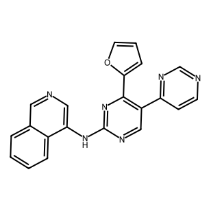 c1coc(-c2nc(Nc3cncc4ccccc34)ncc2-c2ccncn2)c1